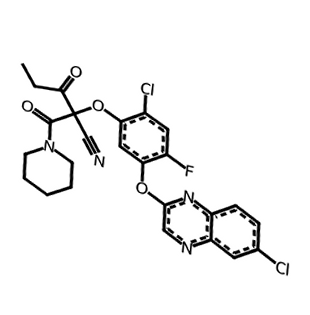 CCC(=O)C(C#N)(Oc1cc(Oc2cnc3cc(Cl)ccc3n2)c(F)cc1Cl)C(=O)N1CCCCC1